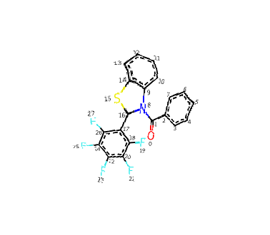 O=C(c1ccccc1)N1c2ccccc2SC1c1c(F)c(F)c(F)c(F)c1F